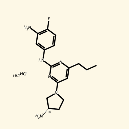 CCCc1cc(N2CC[C@H](N)C2)nc(Nc2ccc(F)c(N)c2)n1.Cl.Cl